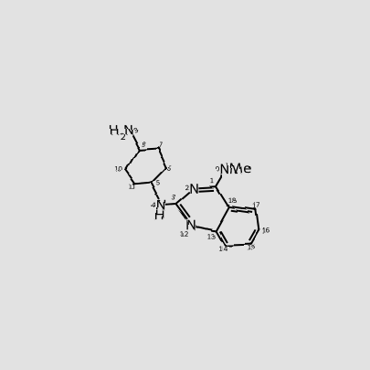 CNc1nc(NC2CCC(N)CC2)nc2ccccc12